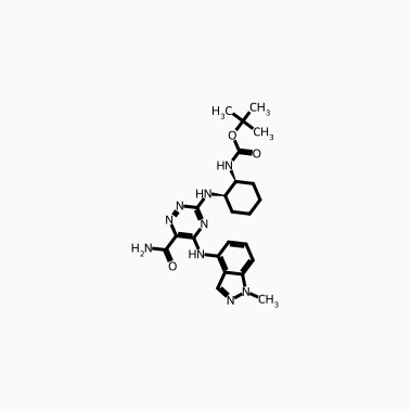 Cn1ncc2c(Nc3nc(N[C@@H]4CCCC[C@@H]4NC(=O)OC(C)(C)C)nnc3C(N)=O)cccc21